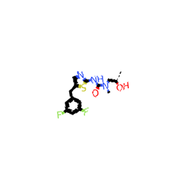 C[C@H](O)CN(C)C(=O)Nc1ncc(Cc2cc(F)cc(F)c2)s1